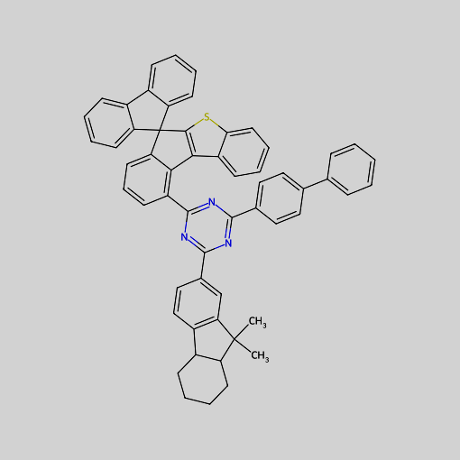 CC1(C)c2cc(-c3nc(-c4ccc(-c5ccccc5)cc4)nc(-c4cccc5c4-c4c(sc6ccccc46)C54c5ccccc5-c5ccccc54)n3)ccc2C2CCCCC21